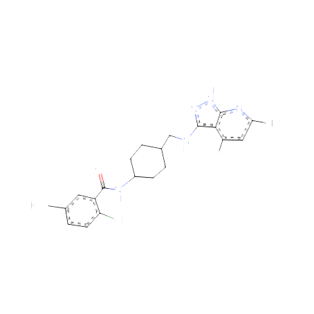 Cc1cc(C)c2c(NCC3CCC(NC(=O)c4cc(C(F)(F)F)ccc4Cl)CC3)n[nH]c2n1